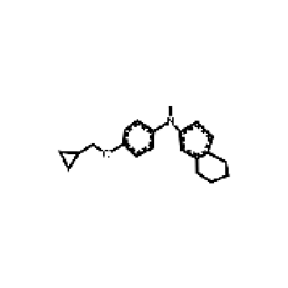 CN(c1ccc(OCC2CC2)cc1)c1ccc2c(c1)CCCC2